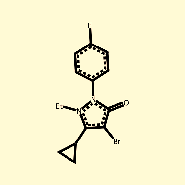 CCn1c(C2CC2)c(Br)c(=O)n1-c1ccc(F)cc1